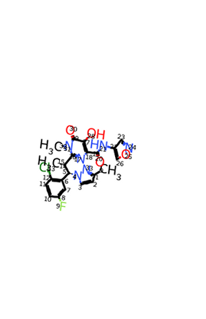 Cc1ccn([C@H](c2cc(F)ccc2Cl)[C@H](C)c2nc(C(=O)Nc3cnoc3)c(O)c(=O)n2C)n1